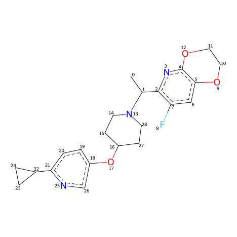 CC(c1nc2c(cc1F)OCCO2)N1CCC(Oc2ccc(C3CC3)nc2)CC1